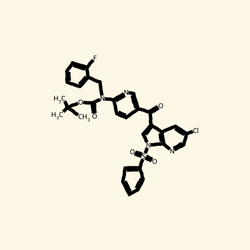 CC(C)(C)OC(=O)N(Cc1ccccc1F)c1ccc(C(=O)c2cn(S(=O)(=O)c3ccccc3)c3ncc(Cl)cc23)cn1